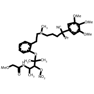 COCC(=O)NC(C)C(O[N+](=O)[O-])C(C)(C)Oc1ccccc1CCN(C)CCCC(C#N)(c1cc(OC)c(OC)c(OC)c1)C(C)C